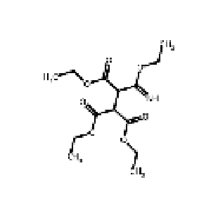 CCOC(=N)C(C(=O)OCC)C(C(=O)OCC)C(=O)OCC